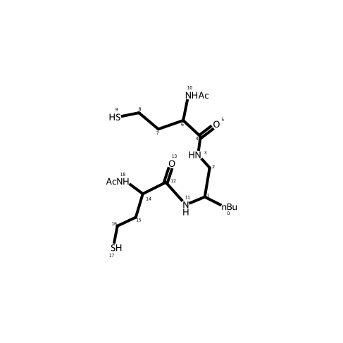 CCCCC(CNC(=O)C(CCS)NC(C)=O)NC(=O)C(CCS)NC(C)=O